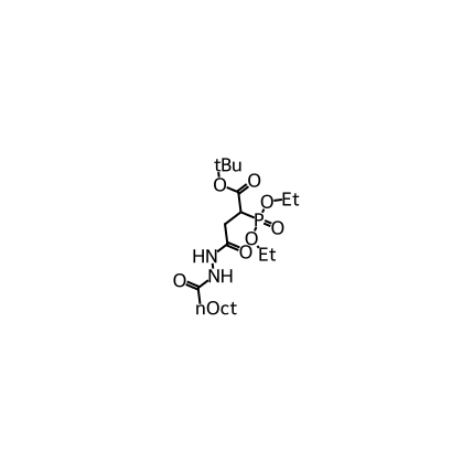 CCCCCCCCC(=O)NNC(=O)CC(C(=O)OC(C)(C)C)P(=O)(OCC)OCC